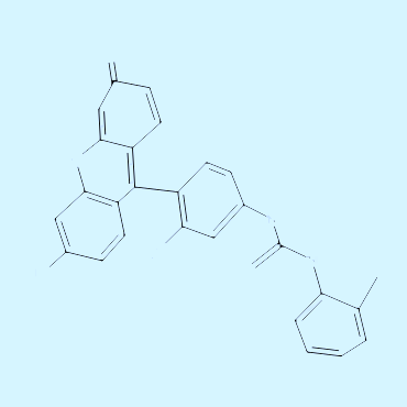 Cc1ccccc1NC(=S)Nc1ccc(-c2c3ccc(=O)cc-3oc3cc(O)ccc23)c(C(=O)O)c1